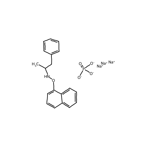 CC(Cc1ccccc1)NOc1cccc2ccccc12.O=P([O-])([O-])[O-].[Na+].[Na+].[Na+]